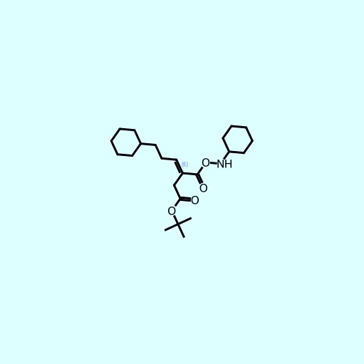 CC(C)(C)OC(=O)C/C(=C\CCC1CCCCC1)C(=O)ONC1CCCCC1